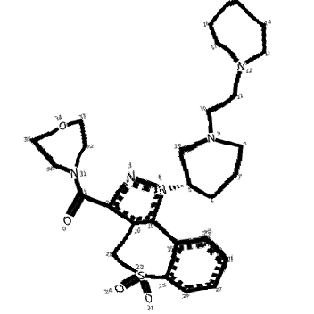 O=C(c1nn([C@H]2CCCN(CCN3CCCCC3)C2)c2c1CS(=O)(=O)c1ccccc1-2)N1CCOCC1